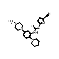 CN1CCN(c2ccc(N3CCCCC3)c(NC(=O)Oc3ccc(C#N)o3)c2)CC1